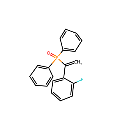 C=C(c1ccccc1F)P(=O)(c1ccccc1)c1ccccc1